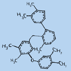 Cc1ccc(Oc2cc(Cc3c(C)cccc3-c3ccc(C)c(C)c3)cc(C)c2C)cc1C